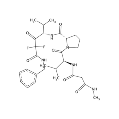 CNC(=O)CC(=O)N[C@H](C(=O)N1CCC[C@H]1C(=O)N[C@H](C(=O)C(F)(F)C(=O)NCc1ccccc1)C(C)C)C(C)C